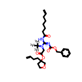 [2H]C([2H])([2H])N(CC(=O)OC1(CCC=C)CCOC1)/C(=N\C(=O)OCc1ccccc1)NC(=O)CCCCCC=C